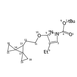 CCc1cn(C(=O)OC(C)(C)C)nc1OCCC1C2(CC2)C12CC2